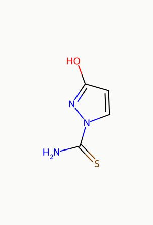 NC(=S)n1ccc(O)n1